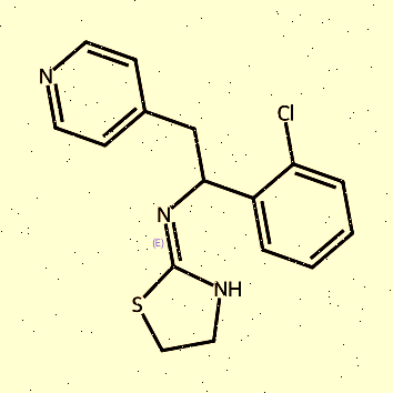 Clc1ccccc1C(Cc1ccncc1)/N=C1\NCCS1